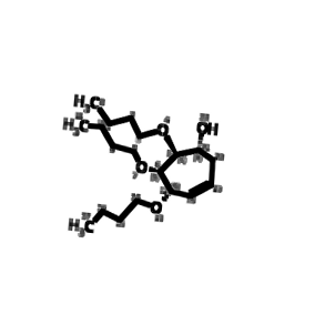 CCCCO[C@@H]1[C@@H](OCCCC)[C@@H](OCCCC)C=CC[C@H]1O